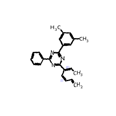 C=C/C=C\C(=C/C)c1nc(-c2ccccc2)nc(-c2cc(C)cc(C)c2)n1